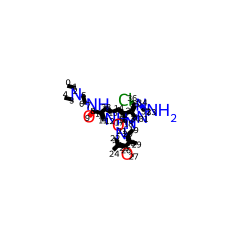 CCN(CC)CCNC(=O)c1c[nH]c(C=C2C(=O)N(Cc3ncc(C)c(OC)c3C)c3nc(N)nc(Cl)c32)c1